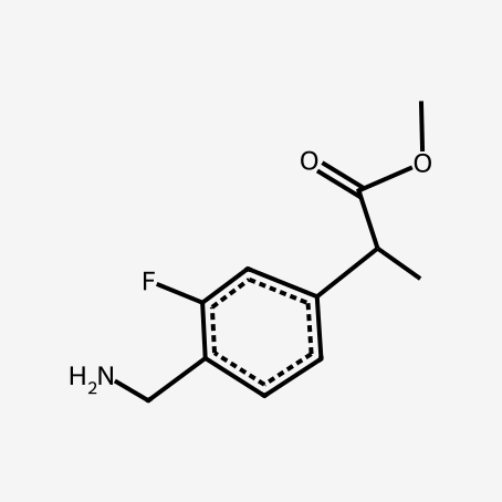 COC(=O)C(C)c1ccc(CN)c(F)c1